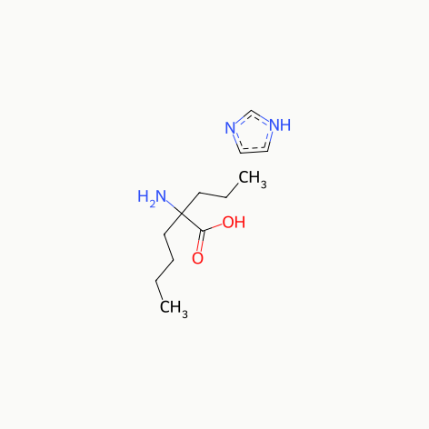 CCCCC(N)(CCC)C(=O)O.c1c[nH]cn1